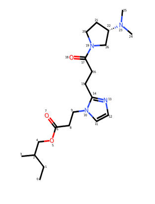 CCC(C)COC(=O)CCn1ccnc1CCC(=O)N1CC[C@H](N(C)C)C1